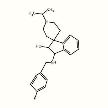 CC(C)N1CCC2(CC1)c1ccccc1C(NCc1ccc(F)cc1)C2O